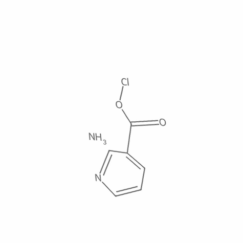 N.O=C(OCl)c1cccnc1